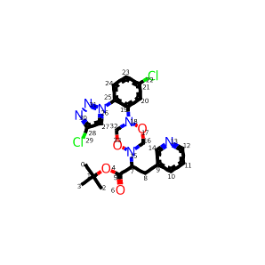 CC(C)(C)OC(=O)C(Cc1cccnc1)N1CON(c2cc(Cl)ccc2-n2cc(Cl)nn2)CO1